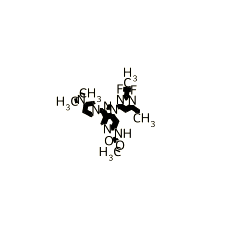 CCc1cc(-n2nc(N3CCC(N(C)C)C3)c3cnc(NC(=O)OC)cc32)nc(C(C)(F)F)n1